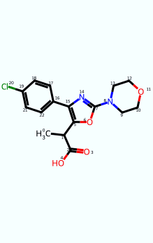 CC(C(=O)O)c1oc(N2CCOCC2)nc1-c1ccc(Cl)cc1